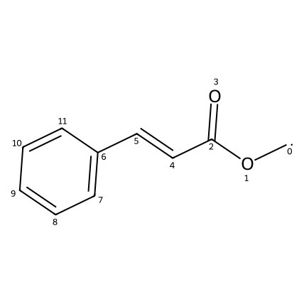 [CH2]OC(=O)C=Cc1ccccc1